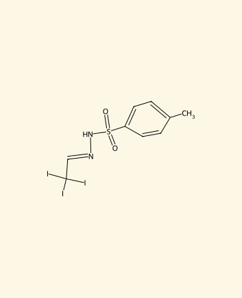 Cc1ccc(S(=O)(=O)NN=CC(I)(I)I)cc1